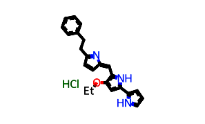 CCOc1cc(-c2ccc[nH]2)[nH]c1C=C1C=CC(CCc2ccccc2)=N1.Cl